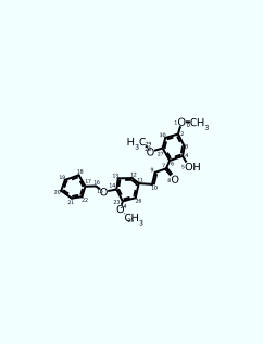 COc1cc(O)c(C(=O)C=Cc2ccc(OCc3ccccc3)c(OC)c2)c(OC)c1